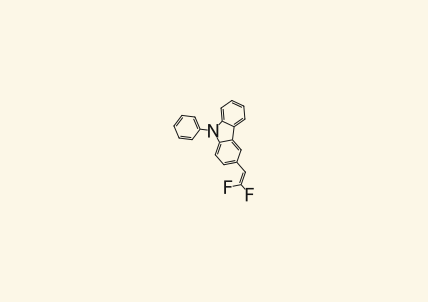 FC(F)=Cc1ccc2c(c1)c1ccccc1n2-c1ccccc1